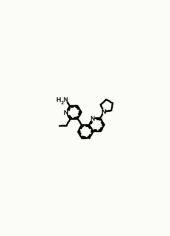 CCc1nc(N)ccc1-c1cccc2ccc(N3CCCC3)nc12